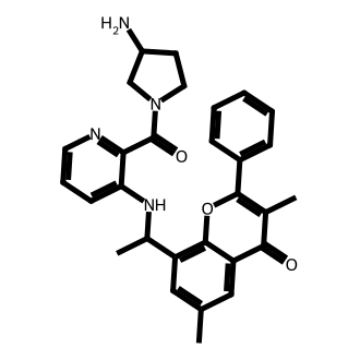 Cc1cc(C(C)Nc2cccnc2C(=O)N2CCC(N)C2)c2oc(-c3ccccc3)c(C)c(=O)c2c1